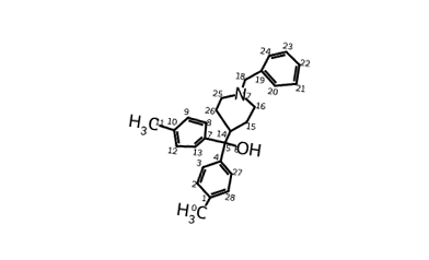 Cc1ccc(C(O)(c2ccc(C)cc2)C2CCN(Cc3ccccc3)CC2)cc1